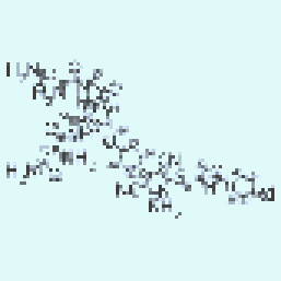 C[C@H](NC(=O)[C@@H](N)CC(N)=O)C(=O)OCC(COc1ccc(-c2c(C#N)c(N)nc(SCc3coc(-c4ccc(Cl)cc4)n3)c2C#N)cc1)OC(=O)[C@H](C)NC(=O)[C@@H](N)CC(N)=O